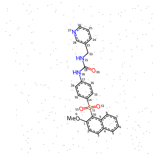 COc1ccc2ccccc2c1S(=O)(=O)c1ccc(NC(=O)NCc2cccnc2)cc1